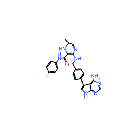 CC1C=NC(NCc2ccc(-c3c[nH]c4ncnc(N)c34)cc2)=C(C(=O)Nc2ccc(F)cc2)N1